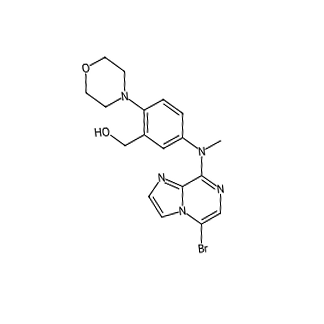 CN(c1ccc(N2CCOCC2)c(CO)c1)c1ncc(Br)n2ccnc12